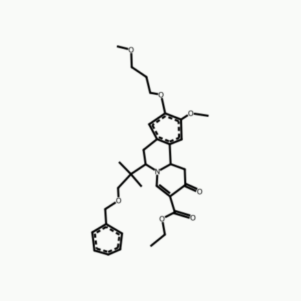 CCOC(=O)C1=CN2C(CC1=O)c1cc(OC)c(OCCCOC)cc1CC2C(C)(C)COCc1ccccc1